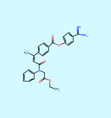 CCOC(=O)CN(C(=O)/C=C(/C)c1ccc(C(=O)Oc2ccc(C(=N)N)cc2)cc1)c1ccccc1